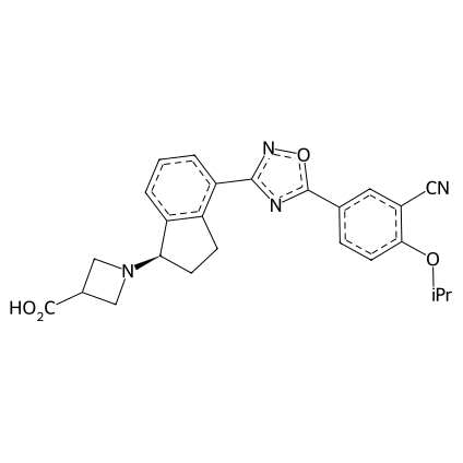 CC(C)Oc1ccc(-c2nc(-c3cccc4c3CC[C@H]4N3CC(C(=O)O)C3)no2)cc1C#N